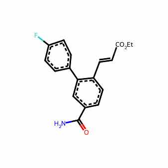 CCOC(=O)/C=C/c1ccc(C(N)=O)cc1-c1ccc(F)cc1